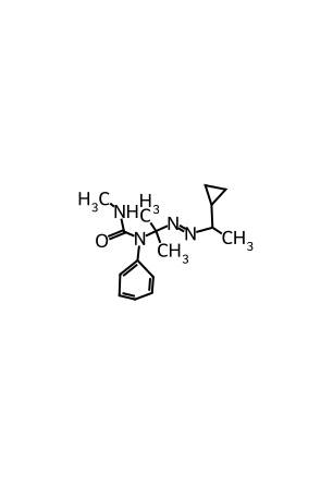 CNC(=O)N(c1ccccc1)C(C)(C)N=NC(C)C1CC1